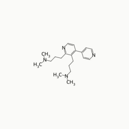 CN(C)CCCc1nccc(-c2ccncc2)c1CCCN(C)C